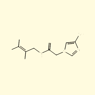 O=C(Cn1cnc([N+](=O)[O-])c1)NCC(F)=C(F)F